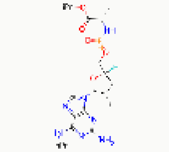 CCCNc1nc(N)nc2c1ncn2[C@@H]1O[C@](F)(CO[PH](=O)N[C@@H](C)C(=O)OC(C)C)C[C@@H]1C